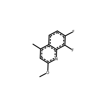 COc1cc(C)c2ccc(F)c(F)c2n1